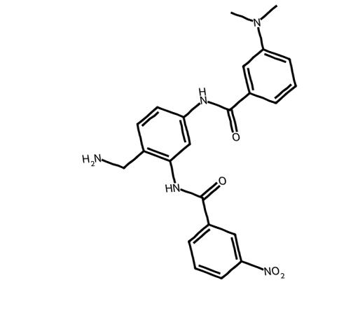 CN(C)c1cccc(C(=O)Nc2ccc(CN)c(NC(=O)c3cccc([N+](=O)[O-])c3)c2)c1